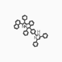 C1=CCCC(c2c(-c3cccc4ccccc34)nn3c(-c4ccccc4)c(-c4ccc(C5N=C(c6ccccc6)C=C(c6ccccc6)N5)cc4)c4ccccc4c23)=C1